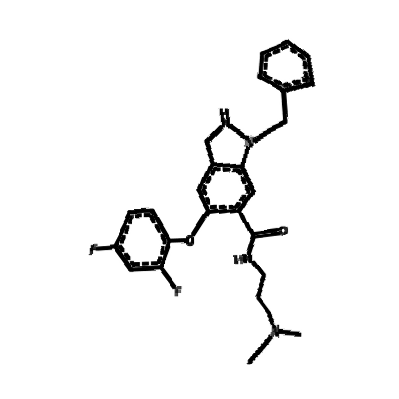 CN(C)CCNC(=O)c1cc2c(cc1Oc1ccc(F)cc1F)CNN2Cc1ccccc1